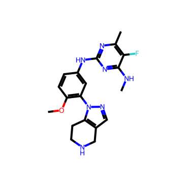 CNc1nc(Nc2ccc(OC)c(-n3ncc4c3CCNC4)c2)nc(C)c1F